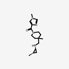 C[C@@H]1C[C@H]1NCC1(C)CCN(C(=O)c2cn(C)cn2)CC1